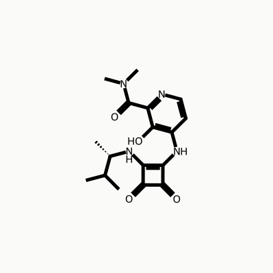 CC(C)[C@H](C)Nc1c(Nc2ccnc(C(=O)N(C)C)c2O)c(=O)c1=O